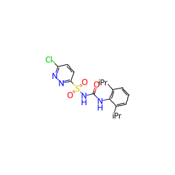 CC(C)c1cccc(C(C)C)c1NC(=O)NS(=O)(=O)c1ccc(Cl)nn1